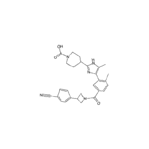 Cc1ccc(C(=O)N2CC(c3ccc(C#N)cc3)C2)cc1-c1nc(C2CCN(C(=O)O)CC2)[nH]c1C